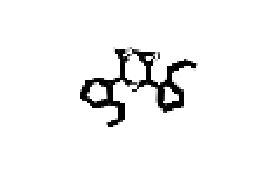 C/C=C\c1ccccc1C(OC(c1ccccc1/C=C\C)C1CO1)C1CO1